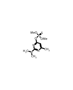 COP(=S)(OC)Oc1cc(C)nc(N(C)C)n1